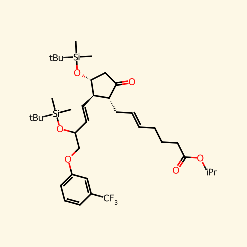 CC(C)OC(=O)CCCC=CC[C@H]1C(=O)C[C@@H](O[Si](C)(C)C(C)(C)C)[C@@H]1C=CC(COc1cccc(C(F)(F)F)c1)O[Si](C)(C)C(C)(C)C